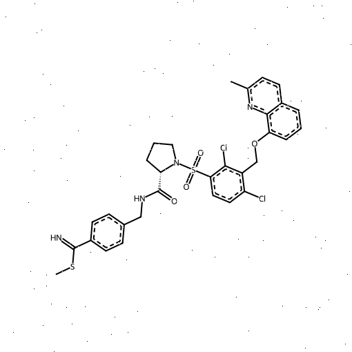 CSC(=N)c1ccc(CNC(=O)[C@@H]2CCCN2S(=O)(=O)c2ccc(Cl)c(COc3cccc4ccc(C)nc34)c2Cl)cc1